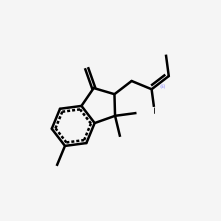 C=C1c2ccc(C)cc2C(C)(C)C1C/C(I)=C\C